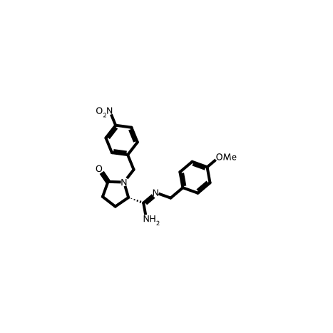 COc1ccc(CN=C(N)[C@@H]2CCC(=O)N2Cc2ccc([N+](=O)[O-])cc2)cc1